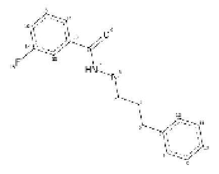 O=C(N[N]CCCc1ccccc1)c1cccc(F)c1